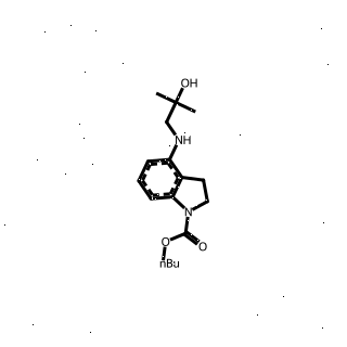 CCCCOC(=O)N1CCc2c(NCC(C)(C)O)cccc21